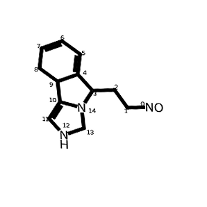 O=NCCC1C2=CC=CCC2C2=CNCN21